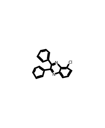 Clc1cccc2nc(-c3ccccc3)c(-c3ccccc3)nc12